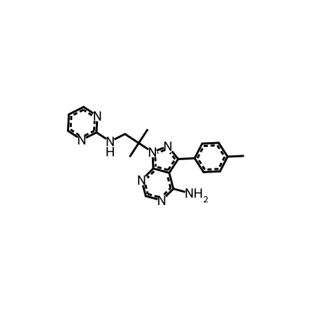 Cc1ccc(-c2nn(C(C)(C)CNc3ncccn3)c3ncnc(N)c23)cc1